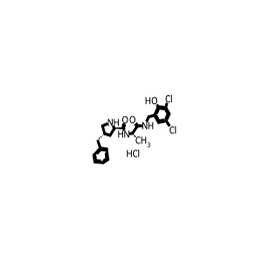 C[C@H](NC(=O)[C@H]1C[C@H](Cc2ccccc2)CN1)C(=O)NCc1cc(Cl)cc(Cl)c1O.Cl